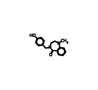 CN1CCN(Cc2ccc(O)cc2)C(=O)c2ccccc21